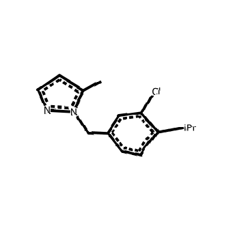 Cc1ccnn1Cc1ccc(C(C)C)c(Cl)c1